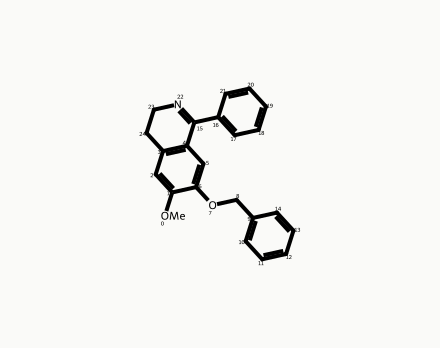 COc1cc2c(cc1OCc1ccccc1)C(c1ccccc1)=NCC2